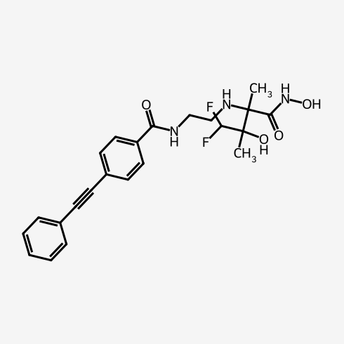 CC(NCCNC(=O)c1ccc(C#Cc2ccccc2)cc1)(C(=O)NO)C(C)(O)C(F)F